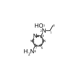 CCN(O)c1ccc(N)cn1